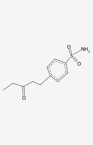 CCC(=O)CCc1ccc(S(N)(=O)=O)cc1